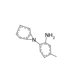 Cc1ccc(N2c3ccccc32)c(N)c1